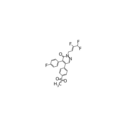 CS(=O)(=O)c1ccc(-c2cnn(CC=C(F)C(F)F)c(=O)c2-c2ccc(F)cc2)cc1